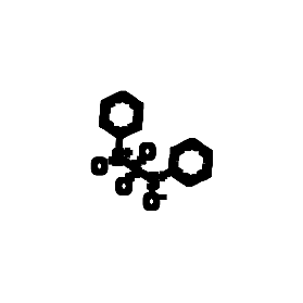 O=S(=O)([S+]([O-])c1ccccc1)[S+]([O-])c1ccccc1